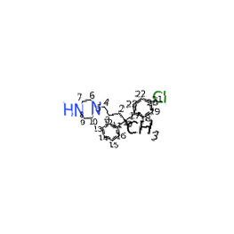 CC(CCCN1CCNCC1)(c1ccccc1)c1ccc(Cl)cc1